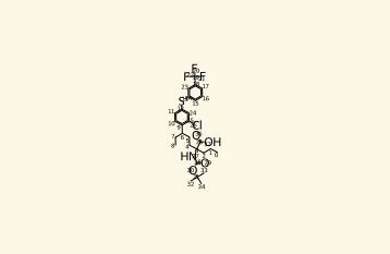 CCCC(CCC(CC)c1ccc(Sc2cccc(C(F)(F)F)c2)cc1Cl)(NC(=O)OC(C)(C)C)C(=O)O